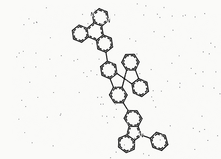 c1ccc(-n2c3ccccc3c3cc(-c4ccc5c(c4)C4(c6ccccc6-c6ccccc64)c4cc(-c6ccc7c(c6)c6ccccc6c6nccnc76)ccc4-5)ccc32)cc1